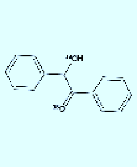 [18O]=C(c1ccccc1)C([18OH])c1ccccc1